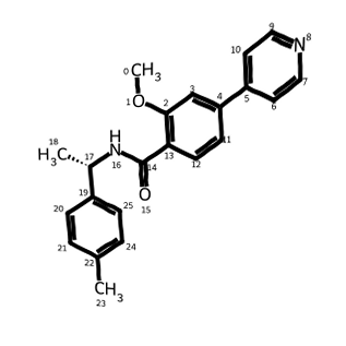 COc1cc(-c2ccncc2)ccc1C(=O)N[C@@H](C)c1ccc(C)cc1